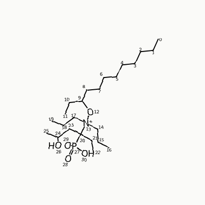 CCCCCCCCCC(CC)O[N+](CCC)(CCC)C(CC)(CC(C)O)P(=O)([O-])O